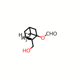 CC1(C)C2CC=C(CO)C1(OC=O)C2